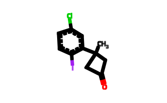 CC1(c2cc(Cl)ccc2I)CC(=O)C1